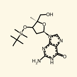 CC(C)(C)[Si](C)(C)OC1C[C@H](n2cnc3c(=O)[nH]c(N)nc32)O[C@]1(C)CO